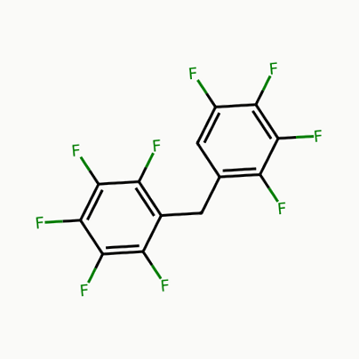 Fc1cc(Cc2c(F)c(F)c(F)c(F)c2F)c(F)c(F)c1F